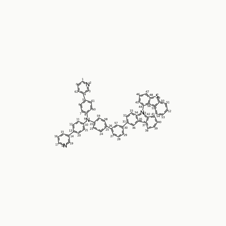 c1cncc(-c2ccc(N(c3ccc(-c4cccnc4)cc3)c3ccc(-c4cccc(-c5ccc6c(c5)c5ccccc5n6-c5cccc6sc7ccccc7c56)c4)cc3)cc2)c1